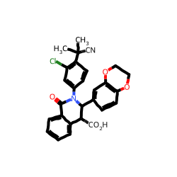 CC(C)(C#N)c1ccc(N2C(=O)c3ccccc3C(C(=O)O)C2c2ccc3c(c2)OCCO3)cc1Cl